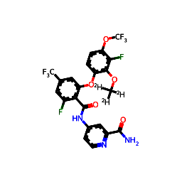 [2H]C([2H])([2H])Oc1c(Oc2cc(C(F)(F)F)cc(F)c2C(=O)Nc2ccnc(C(N)=O)c2)ccc(OC(F)(F)F)c1F